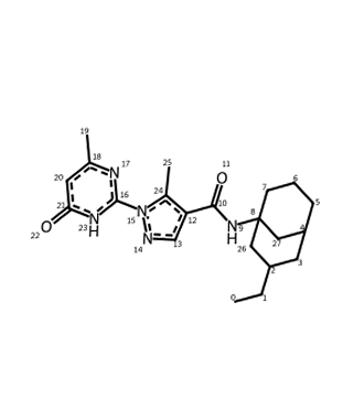 CCC1CC2CCCC(NC(=O)c3cnn(-c4nc(C)cc(=O)[nH]4)c3C)(C1)C2